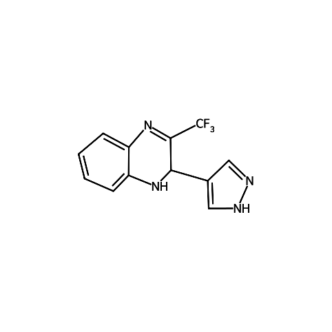 FC(F)(F)C1=Nc2ccccc2NC1c1cn[nH]c1